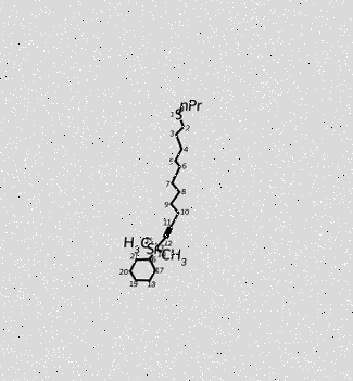 CCCSCCCCCCCCCC#C[Si](C)(C)C1CCCCC1